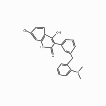 CN(C)c1ccccc1Cc1cccc(-c2c(O)c3ccc(Cl)cc3[nH]c2=O)c1